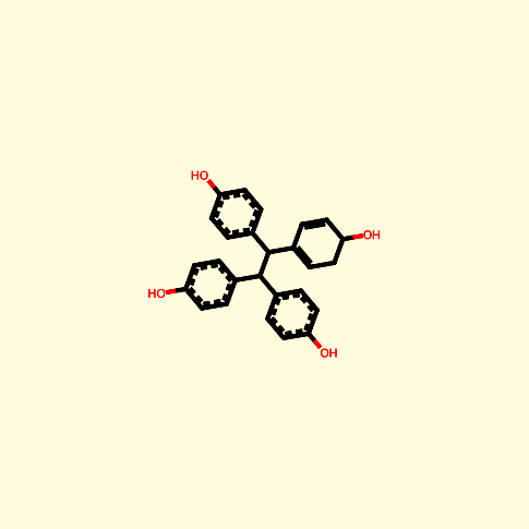 Oc1ccc(C(C2=CCC(O)C=C2)C(c2ccc(O)cc2)c2ccc(O)cc2)cc1